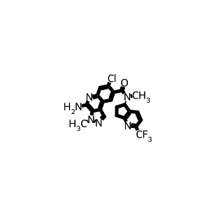 CN(C(=O)c1cc2c(cc1Cl)nc(N)c1c2cnn1C)[C@H]1CCc2nc(C(F)(F)F)ccc21